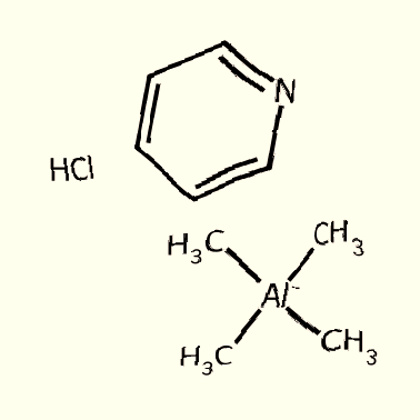 Cl.[CH3][Al-]([CH3])([CH3])[CH3].c1ccncc1